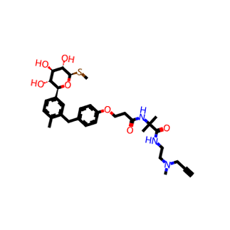 C#CCN(C)CCNC(=O)C(C)(C)NC(=O)CCOc1ccc(Cc2cc([C@@H]3O[C@H](SC)[C@@H](O)[C@H](O)[C@H]3O)ccc2C)cc1